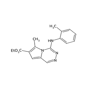 CCOC(=O)c1cc2cnnc(Nc3ccccc3C)n2c1C